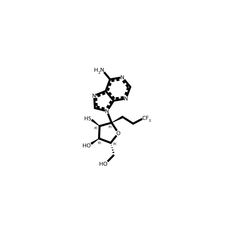 Nc1ncnc2c1ncn2[C@]1(CCC(F)(F)F)O[C@H](CO)[C@@H](O)[C@H]1S